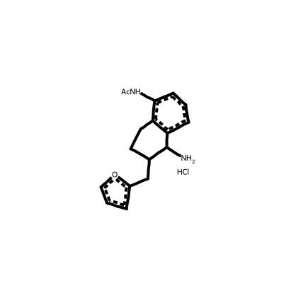 CC(=O)Nc1cccc2c1CCC(Cc1ccco1)C2N.Cl